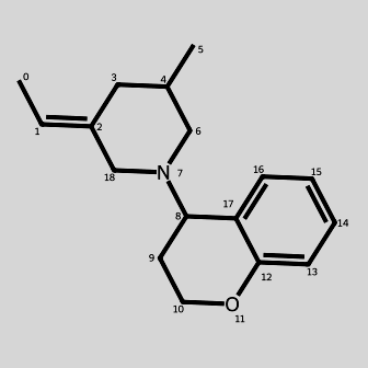 C/C=C1\CC(C)CN(C2CCOc3ccccc32)C1